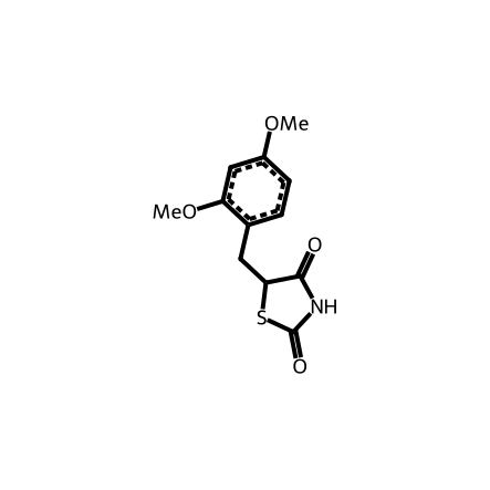 COc1ccc(CC2SC(=O)NC2=O)c(OC)c1